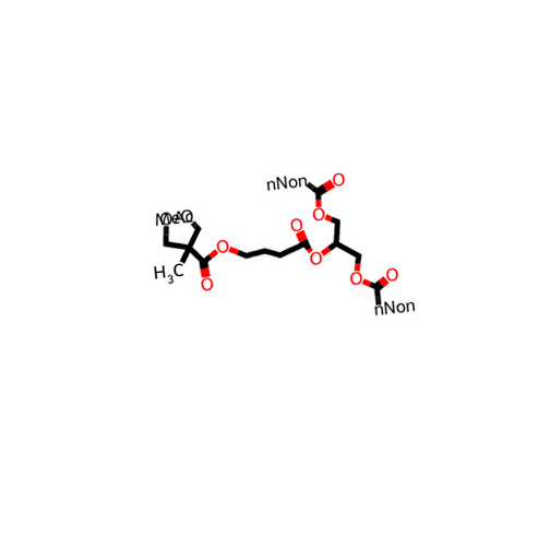 CCCCCCCCCC(=O)OCC(COC(=O)CCCCCCCCC)OC(=O)CCCOC(=O)C(C)(COC)COC(C)=O